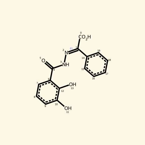 O=C(O)/C(=N/NC(=O)c1cccc(O)c1O)c1ccccc1